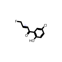 O=C(/C=C/CF)c1cc(Cl)ccc1O